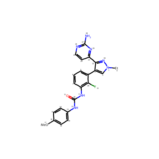 CCn1cc(-c2cccc(NC(=O)Nc3ccc(OC)cc3)c2F)c(-c2ccnc(N)n2)n1